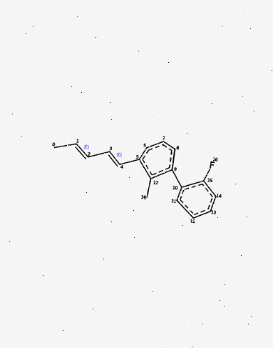 C/C=C/C=C/c1cccc(-c2ccccc2F)c1C